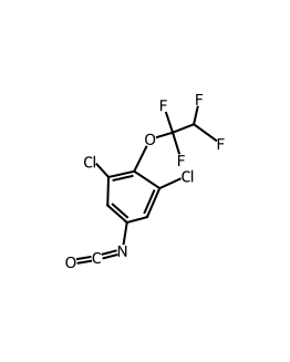 O=C=Nc1cc(Cl)c(OC(F)(F)C(F)F)c(Cl)c1